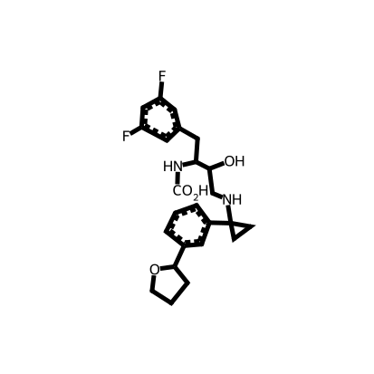 O=C(O)NC(Cc1cc(F)cc(F)c1)C(O)CNC1(c2cccc(C3CCCO3)c2)CC1